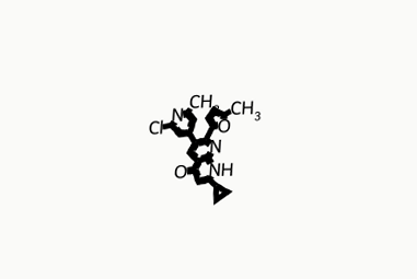 Cc1cc(-c2cc3c(=O)cc(C4CC4)[nH]c3nc2-c2ccc(C)o2)cc(Cl)n1